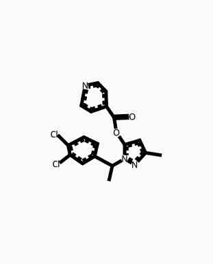 Cc1cc(OC(=O)c2ccncc2)n(C(C)c2ccc(Cl)c(Cl)c2)n1